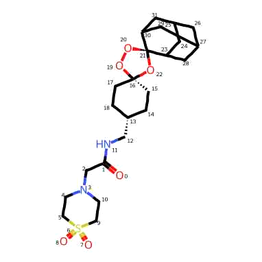 O=C(CN1CCS(=O)(=O)CC1)NC[C@H]1CC[C@]2(CC1)OO[C@]1(O2)C2CC3CC(C2)CC1C3